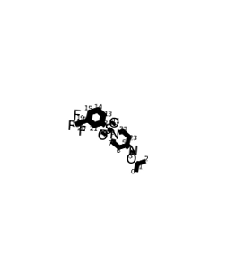 CC(C)ON=C1CCN(S(=O)(=O)c2cccc(C(F)(F)F)c2)CC1